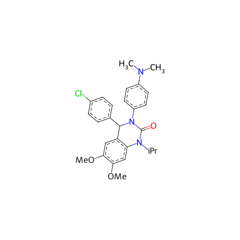 COc1cc2c(cc1OC)N(C(C)C)C(=O)N(c1ccc(N(C)C)cc1)C2c1ccc(Cl)cc1